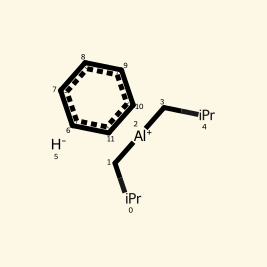 CC(C)[CH2][Al+][CH2]C(C)C.[H-].c1ccccc1